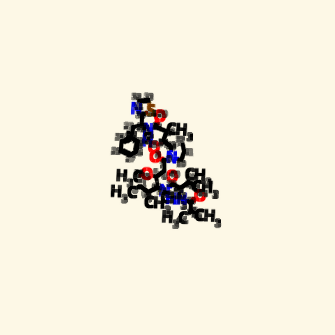 CC[C@H](C)[C@@H](C(CC(=O)N1CCC[C@H]1[C@H](OC)C(C)C(=O)N[C@@H](Cc1ccccc1)c1nccs1)OC)N(C)C(=O)[C@@H](NC(=O)C(C)C)C(C)C